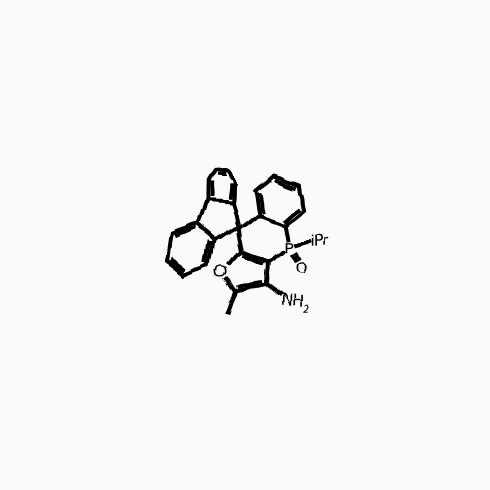 Cc1oc2c(c1N)P(=O)(C(C)C)c1ccccc1C21c2ccccc2-c2ccccc21